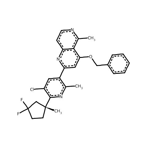 Cc1nc([C@]2(C)CCC(F)(F)C2)c(Cl)cc1-c1cc(OCc2ccccc2)c2c(C)nccc2n1